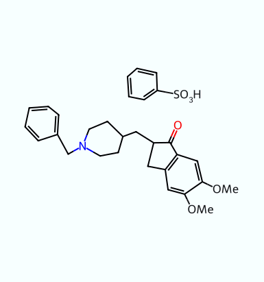 COc1cc2c(cc1OC)C(=O)C(CC1CCN(Cc3ccccc3)CC1)C2.O=S(=O)(O)c1ccccc1